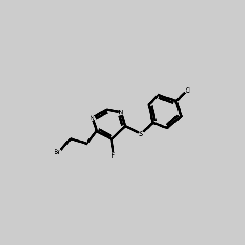 Fc1c(CCBr)ncnc1Sc1ccc(Cl)cc1